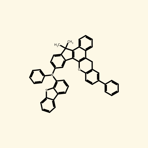 CC1(C)c2ccc(N(c3ccccc3)c3cccc4c3sc3ccccc34)cc2-c2c3c(c4ccccc4c21)Cc1cc(-c2ccccc2)ccc1O3